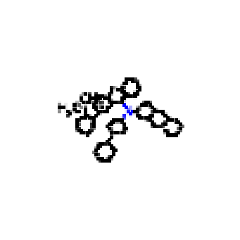 CC1(C)c2ccccc2-c2cc3c(N(c4ccc(-c5ccccc5)cc4)c4ccc5cc6ccccc6cc5c4)c4ccccc4cc3cc21